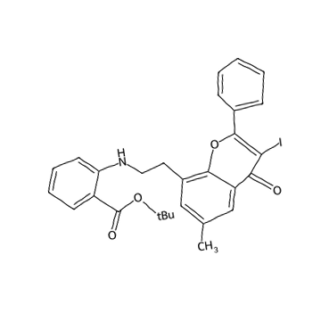 Cc1cc(CCNc2ccccc2C(=O)OC(C)(C)C)c2oc(-c3ccccc3)c(I)c(=O)c2c1